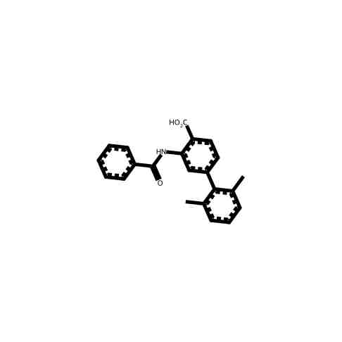 Cc1cccc(C)c1-c1ccc(C(=O)O)c(NC(=O)c2ccccc2)c1